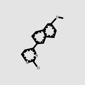 COc1ccc2cc(-c3ccnc(Cl)n3)ccc2c1